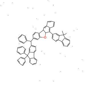 CC1(C)c2ccccc2-c2ccc(C3=c4ccccc4=CC4c5ccc(C(c6ccccc6)c6ccc7c(c6)C(c6ccccc6)(c6ccccc6)c6ccccc6-7)cc5OC34)cc21